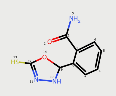 NC(=O)c1ccccc1C1NN=C(S)O1